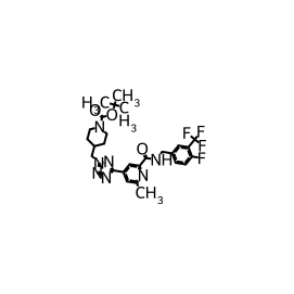 Cc1cc(-c2nnn(CC3CCN(C(=O)OC(C)(C)C)CC3)n2)cc(C(=O)NCc2ccc(F)c(C(F)(F)F)c2)n1